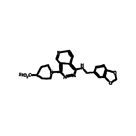 CCOC(=O)C1CCN(c2nnc(NCc3ccc4c(c3)OCO4)c3ccncc23)CC1